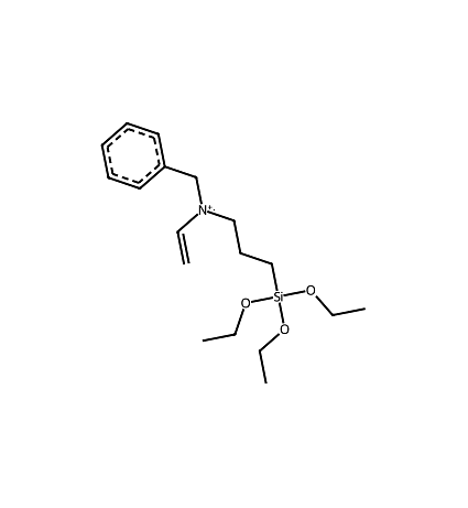 C=C[N+](CCC[Si](OCC)(OCC)OCC)Cc1ccccc1